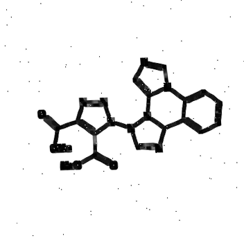 COC(=O)c1nnn(N2C=NC3c4ccccc4-n4cncc4N32)c1C(=O)OC